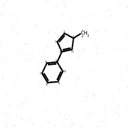 C[C]1C=CC(c2ccccc2)=C1